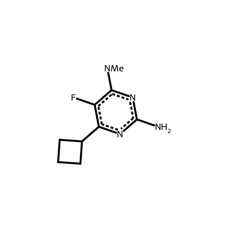 CNc1nc(N)nc(C2CCC2)c1F